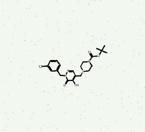 CC(C)(C)OC(=O)N1CCN(Cc2cnn(Cc3cccc(Cl)c3)c(=O)c2O)CC1